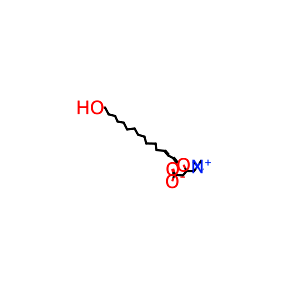 C[N+](C)(C)CC(CC(=O)[O-])OC=CC=CCCCCCCCCCCCCO